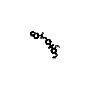 CCCCOc1ccc(S(=O)(=O)c2ccc(CNC(=O)c3ccc4nccn4c3)cc2)c(C)c1